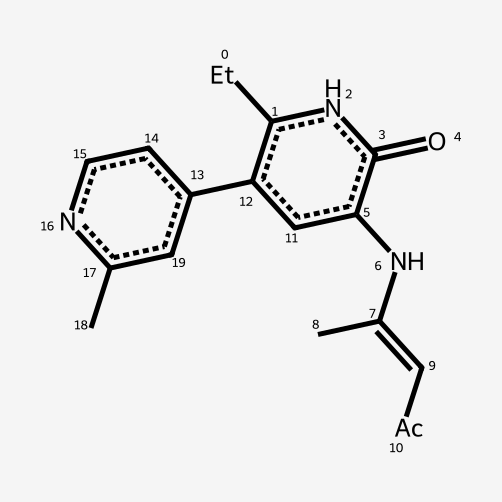 CCc1[nH]c(=O)c(N/C(C)=C/C(C)=O)cc1-c1ccnc(C)c1